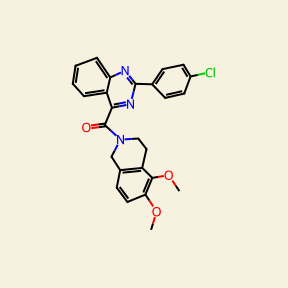 COc1ccc2c(c1OC)CCN(C(=O)c1nc(-c3ccc(Cl)cc3)nc3ccccc13)C2